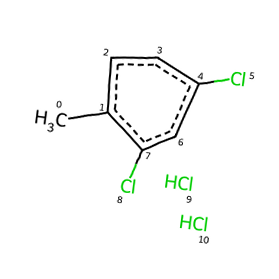 Cc1ccc(Cl)cc1Cl.Cl.Cl